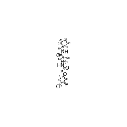 O=C(COc1ccc(Cl)c(F)c1)NC1CC2(C(=O)NCc3ccccc3)CC1C2